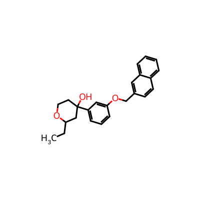 CCC1CC(O)(c2cccc(OCc3ccc4ccccc4c3)c2)CCO1